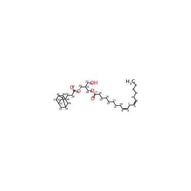 CCCCC/C=C\C/C=C\CCCCCCCC(=O)OCC(CO)COC(=O)CCC12CC3CC(CC(C3)C1)C2